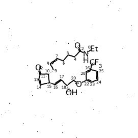 CCNC(=O)CCC/C=C\C[C@H]1C(=O)C=C[C@@H]1/C=C/[C@@H](O)COc1cccc(C(F)(F)F)c1